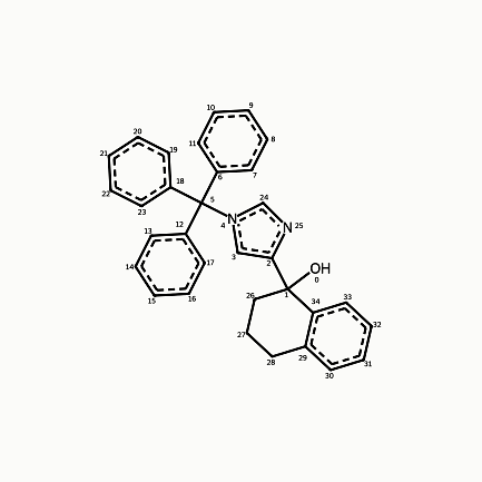 OC1(c2cn(C(c3ccccc3)(c3ccccc3)c3ccccc3)cn2)CCCc2ccccc21